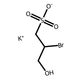 O=S(=O)([O-])CC(Br)CO.[K+]